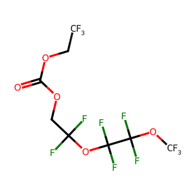 O=C(OCC(F)(F)F)OCC(F)(F)OC(F)(F)C(F)(F)OC(F)(F)F